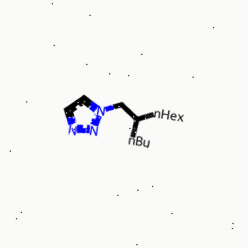 CCCCCCC(CCCC)Cn1ccnn1